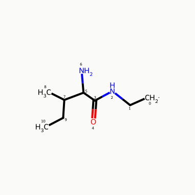 [CH2]CNC(=O)C(N)C(C)CC